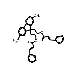 Cc1ccc2c(c1)C(CCOC(=O)/C=C/c1ccccc1)(CCOC(=O)/C=C/c1ccccc1)c1cc(C)ccc1-2